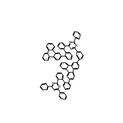 c1ccc(-c2cc(-c3ccccc3)nc(-c3ccccc3-c3ccccc3-c3ccc4c5ccc(-c6cccc(-c7nc(-c8ccccc8)nc(-c8ccccc8-c8ccccc8-c8ccc9c%10ccccc%10c%10ccccc%10c9c8)n7)c6)cc5c5ccccc5c4c3)n2)cc1